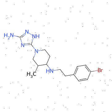 CC1CN(c2nc(N)n[nH]2)CCC1NCCc1ccc(Br)cc1